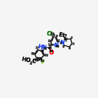 CC[C@H]1CCCCN1c1cc(Cl)cc(C(=O)Nc2ccc(C(=O)O)c(F)c2)n1